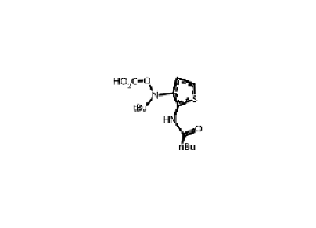 CCCCC(=O)Nc1sccc1N(OC(=O)O)C(C)(C)C